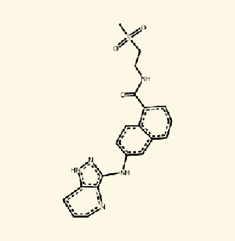 CS(=O)(=O)CCNC(=O)c1cccc2cc(Nc3n[nH]c4cccnc34)ccc12